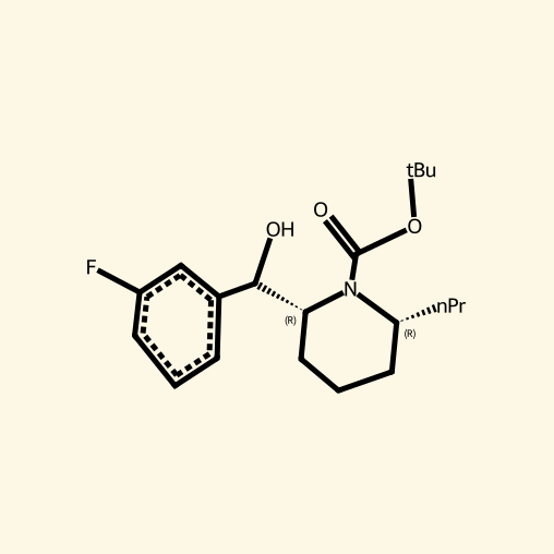 CCC[C@@H]1CCC[C@H](C(O)c2cccc(F)c2)N1C(=O)OC(C)(C)C